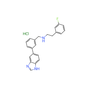 Cl.Fc1cccc(CCNCc2cccc(-c3ccc4[nH]cnc4c3)c2)c1